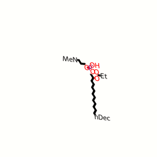 CCCCCCCCCCCCCCCCCCCCCC(COP(O)OCCCNC)OC(=O)CC